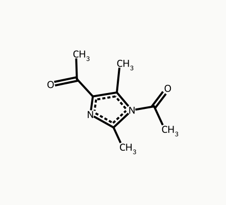 CC(=O)c1nc(C)n(C(C)=O)c1C